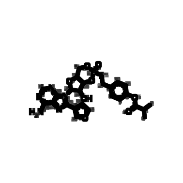 CC(C)C(=O)Oc1ccc(CSP2(=O)OCC3OC(n4c(-c5ccoc5)nc5c(N)ncnc54)C(O)C3O2)cc1